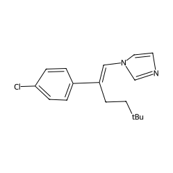 CC(C)(C)CCC(=Cn1ccnc1)c1ccc(Cl)cc1